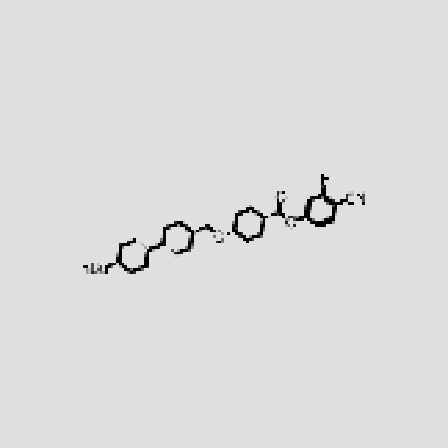 CCCC[C@H]1CC[C@H]([C@H]2CC[C@H](CO[C@H]3CC[C@H](C(=O)Oc4ccc(C#N)c(F)c4)CC3)CC2)CC1